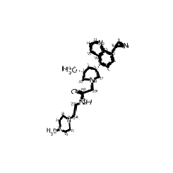 C[C@@H]1C[C@H](c2ccc(C3C=N3)c3ncccc23)CN(CC(=O)NCCN2CCN(C)CC2)C1